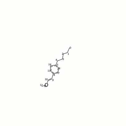 CCCCCc1ccc(/C=C/OC)cc1